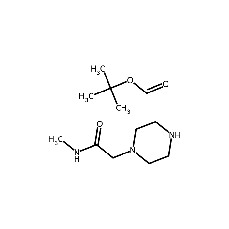 CC(C)(C)OC=O.CNC(=O)CN1CCNCC1